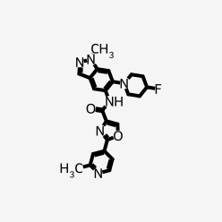 Cc1cc(-c2nc(C(=O)Nc3cc4cnn(C)c4cc3N3CCC(F)CC3)co2)ccn1